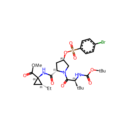 CC[C@@H]1C[C@]1(NC(=O)[C@@H]1C[C@@H](OS(=O)(=O)c2ccc(Br)cc2)CN1C(=O)[C@@H](NC(=O)OC(C)(C)C)C(C)(C)C)C(=O)OC